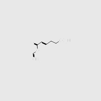 C=COC(=O)C=CCCC(=O)O